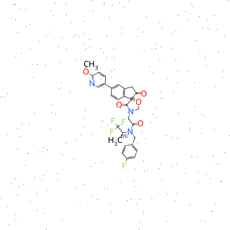 COc1ccc(-c2ccc3c(c2)CC(=O)[C@]32OCN(CC(=O)N(Cc3ccc(F)cc3)[C@@H](C)C(F)(F)F)C2=O)cn1